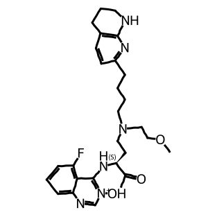 COCCN(CCCCc1ccc2c(n1)NCCC2)CC[C@H](Nc1c2c(F)cccc2nc[n+]1O)C(C)=O